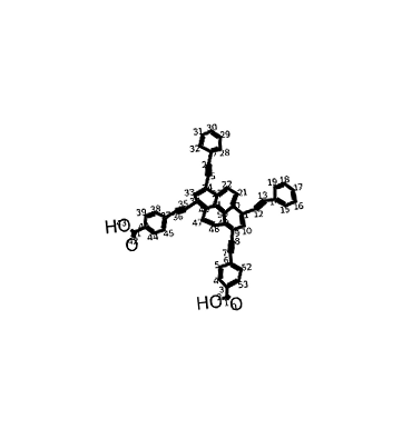 O=C(O)c1ccc(C#Cc2cc(C#Cc3ccccc3)c3ccc4c(C#Cc5ccccc5)cc(C#Cc5ccc(C(=O)O)cc5)c5ccc2c3c45)cc1